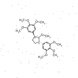 COc1cc([C@@H]2CC[C@@H](c3cc(OC)c(OC)c(OC)c3)C2OC)cc(OC)c1OC